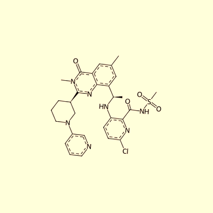 Cc1cc([C@@H](C)Nc2ccc(Cl)nc2C(=O)NS(C)(=O)=O)c2nc([C@@H]3CCCN(c4cccnc4)C3)n(C)c(=O)c2c1